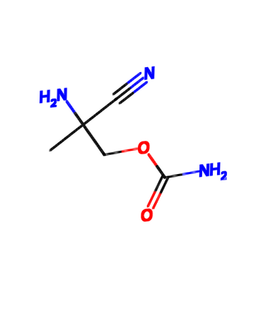 CC(N)(C#N)COC(N)=O